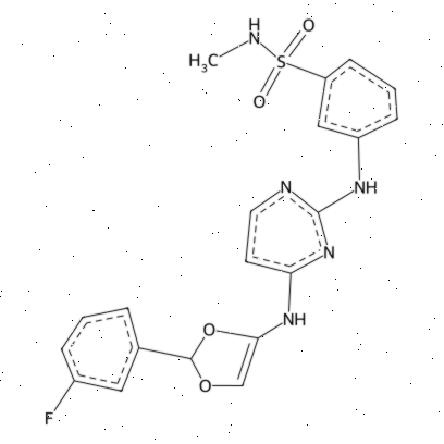 CNS(=O)(=O)c1cccc(Nc2nccc(NC3=COC(c4cccc(F)c4)O3)n2)c1